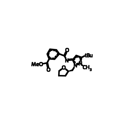 COC(=O)c1cccc(C(=O)/N=c2\cc(C(C)(C)C)n(C)n2C[C@H]2CCCO2)c1